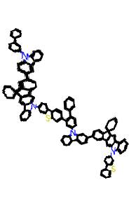 c1ccc(-c2cccc(-n3c4ccccc4c4cc(-c5ccc6c(c5)C5(CCCCC5)c5cc7c8ccccc8n(-c8ccc9c(c8)sc8cc(-c%10cc(-n%11c%12ccccc%12c%12ccc(-c%13ccc%14c(c%13)-c%13cc%15c(cc%13C%14%13CCCCC%13)c%13ccccc%13n%15-c%13ccc%14c(c%13)sc%13ccccc%13%14)cc%12%11)ccc%10-c%10ccccc%10)ccc89)c7cc5-6)ccc43)c2)cc1